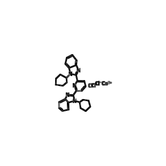 [Cl-].[Cl-].[Cl-].[Co+3].c1cc(-c2nc3ccccc3n2C2CCCCC2)nc(-c2nc3ccccc3n2C2CCCCC2)c1